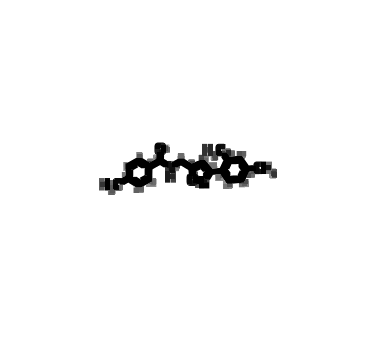 Cc1ccc(C(=O)NCc2cc(-c3ccc(C)cc3C)no2)cc1